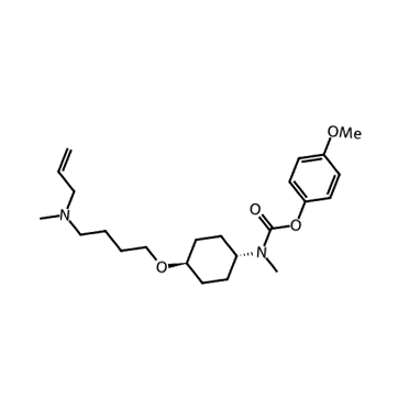 C=CCN(C)CCCCO[C@H]1CC[C@H](N(C)C(=O)Oc2ccc(OC)cc2)CC1